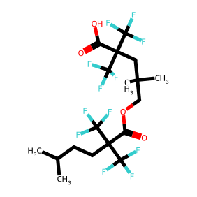 CC(C)CCC(C(=O)OCC(C)(C)CC(C(=O)O)(C(F)(F)F)C(F)(F)F)(C(F)(F)F)C(F)(F)F